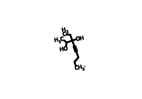 [CH2]CCC#CC(O)(CC)C(C)O